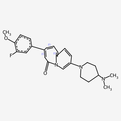 COc1ccc(C2=C\C(=O)N3C=C(N4CCC(N(C)C)CC4)C=C\C3=C/C=C/2)cc1F